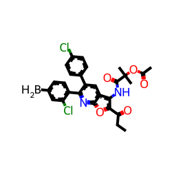 Bc1ccc(-c2nc3oc(C(=O)CC)c(NC(=O)C(C)(C)OC(C)=O)c3cc2-c2ccc(Cl)cc2)c(Cl)c1